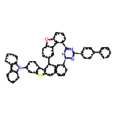 c1ccc(-c2ccc(-c3nc(-c4ccccc4)nc(-c4cccc5oc6ccc(-c7cccc8sc9cc(-n%10c%11ccccc%11c%11ccccc%11%10)ccc9c78)cc6c45)n3)cc2)cc1